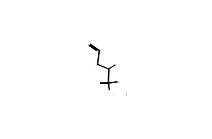 O=C(O)C(F)(F)C(F)CC=S